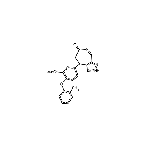 COc1cc(C2CC(=O)N=Cc3n[nH]cc32)ccc1Oc1ccccc1C